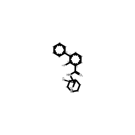 O=C(N[C@H]1CN2CCC1CC2)c1cccc(-c2ccccc2)c1F